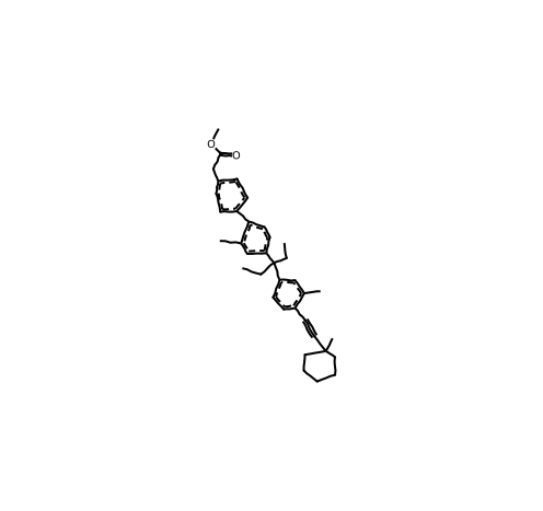 CCC(CC)(c1ccc(C#CC2(C)CCCCC2)c(C)c1)c1ccc(-c2ccc(CC(=O)OC)cc2)c(C)c1